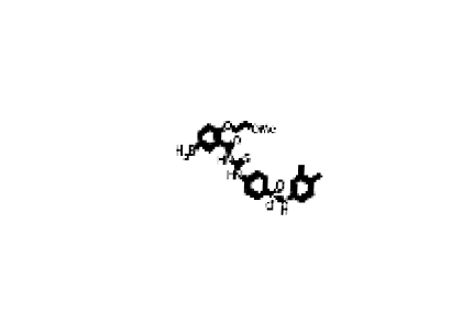 Bc1ccc(OCCOC)c(C(=O)NC(=S)Nc2ccc(S(=O)(=O)Nc3ccc(C)c(C)c3)cc2)c1